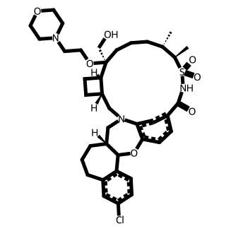 C[C@@H]1[C@@H](C)CCC[C@](CO)(OCCN2CCOCC2)[C@@H]2CC[C@H]2CN2C[C@H]3CCCc4cc(Cl)ccc4C3Oc3ccc(cc32)C(=O)NS1(=O)=O